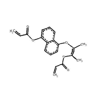 C=CC(=O)OC(C)=C(C)Oc1cccc2c(OC(=O)C=C)cccc12